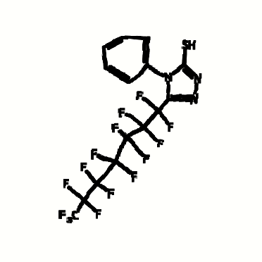 FC(F)(F)C(F)(F)C(F)(F)C(F)(F)C(F)(F)C(F)(F)C(F)(F)c1nnc(S)n1-c1ccccc1